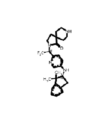 CC1(C)c2ccccc2C[C@@H]1Nc1ccc([C@H](N2CCC3(CCNCC3)C2=O)C(F)(F)F)nc1